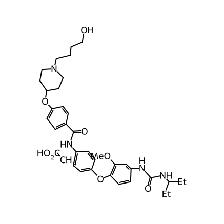 CC(=O)O.CCC(CC)NC(=O)Nc1ccc(Oc2ccc(NC(=O)c3ccc(OC4CCN(CCCCO)CC4)cc3)cc2)c(OC)c1